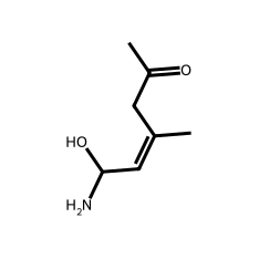 CC(=O)C/C(C)=C\C(N)O